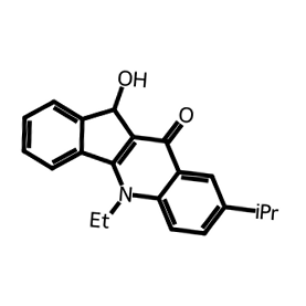 CCn1c2c(c(=O)c3cc(C(C)C)ccc31)C(O)c1ccccc1-2